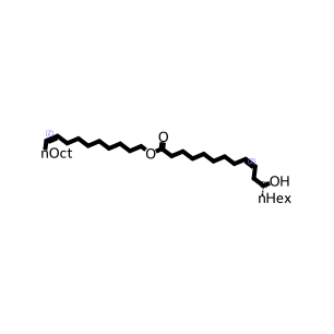 CCCCCCCC/C=C\CCCCCCCCOC(=O)CCCCCCC/C=C\C[C@H](O)CCCCCC